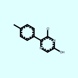 Cc1ccc(-c2ncc(O)nc2Cl)cc1